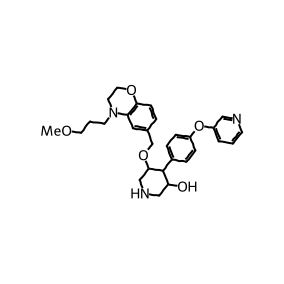 COCCCN1CCOc2ccc(COC3CNCC(O)C3c3ccc(Oc4cccnc4)cc3)cc21